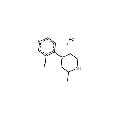 CC1CN(c2ccncc2F)CCN1.Cl.Cl